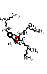 C/C=C\C1=C(CC(=O)NCCCN(C)CCCN)C2c3cc(C(=O)NCCCN(C)CCCN)ccc3C13c1cc(C(=O)NCCCN(C)CCCN)cc2c13